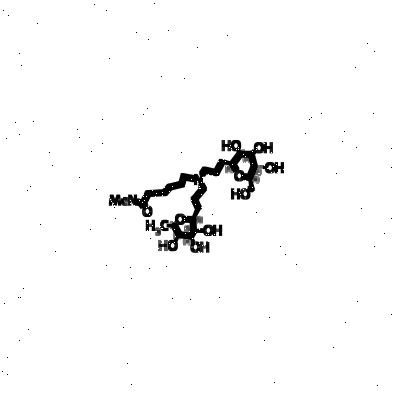 CNC(=O)CCCCCN(CCC[C@@H]1O[C@H](CO)[C@@H](O)[C@H](O)[C@H]1O)CCC[C@@H]1O[C@@H](C)[C@@H](O)[C@@H](O)[C@@H]1O